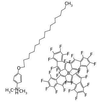 CCCCCCCCCCCCCCCCCCOc1ccc([NH+](C)C)cc1.Fc1c(F)c(F)c2c(F)c([B-](c3c(F)c(F)c4c(F)c(F)c(F)c(F)c4c3F)(c3c(F)c(F)c4c(F)c(F)c(F)c(F)c4c3F)c3c(F)c(F)c4c(F)c(F)c(F)c(F)c4c3F)c(F)c(F)c2c1F